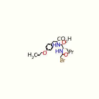 C=CCOc1ccc(C[C@H](NC(=O)[C@H](CC(C)C)NC(=O)CBr)C(=O)O)cc1